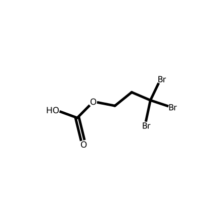 O=C(O)OCCC(Br)(Br)Br